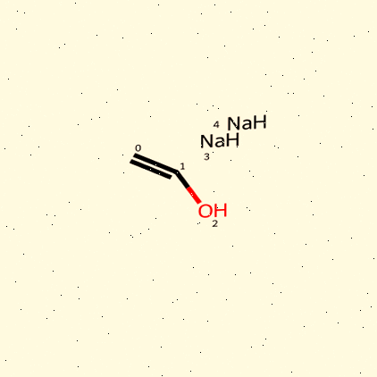 C=CO.[NaH].[NaH]